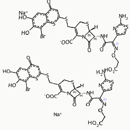 Nc1nc(/C(=N/OCC(=O)O)C(=O)N[C@@H]2C(=O)N3C(C(=O)[O-])=C(CSc4cc(=O)c5cc(O)c(O)c(Br)c5s4)CS[C@H]23)cs1.Nc1nc(/C(=N/OCC(=O)O)C(=O)N[C@@H]2C(=O)N3C(C(=O)[O-])=C(CSc4cc(=O)c5cc(O)c(O)c(Br)c5s4)CS[C@H]23)cs1.[Na+].[Na+]